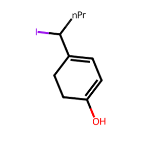 CCCC(I)C1=CC=C(O)CC1